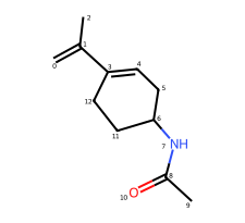 C=C(C)C1=CCC(NC(C)=O)CC1